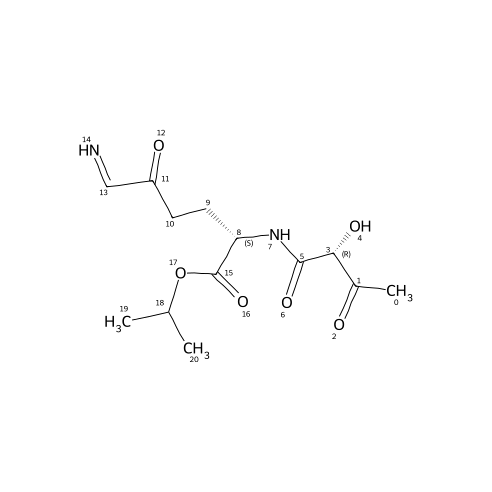 CC(=O)[C@@H](O)C(=O)N[C@@H](CCC(=O)C=N)C(=O)OC(C)C